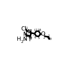 C=CCOC1CCC(c2nc(Cl)nc(N)c2F)CC1